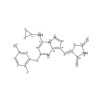 Cc1ccc(Cl)cc1Cc1cc(NC2CC2)n2ncc(/C=C3\CC(=O)NC3=O)c2n1